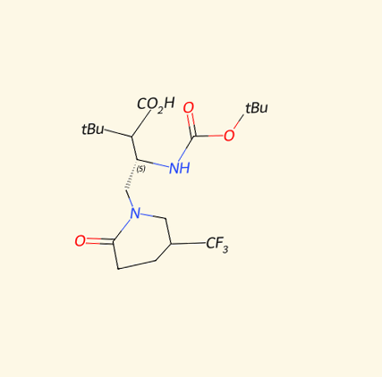 CC(C)(C)OC(=O)N[C@H](CN1CC(C(F)(F)F)CCC1=O)C(C(=O)O)C(C)(C)C